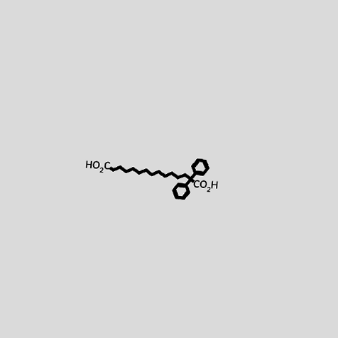 O=C(O)CCCCCCCCCCCCC(C(=O)O)(c1ccccc1)c1ccccc1